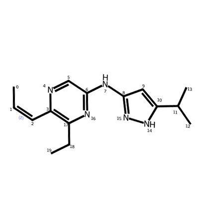 C/C=C\c1ncc(Nc2cc(C(C)C)[nH]n2)nc1CC